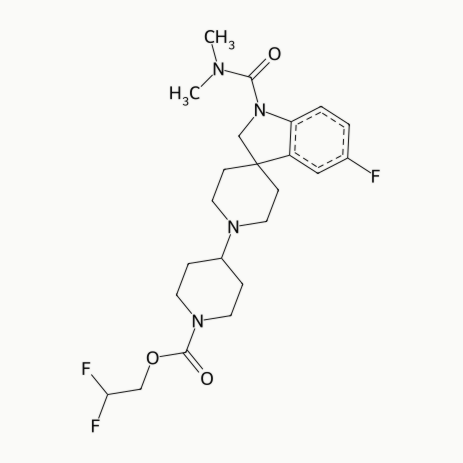 CN(C)C(=O)N1CC2(CCN(C3CCN(C(=O)OCC(F)F)CC3)CC2)c2cc(F)ccc21